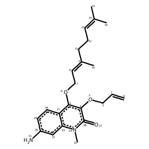 C=CCOc1c(OC/C=C(\C)CCC=C(C)C)c2ccc(N)cc2n(C)c1=O